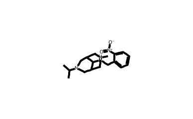 CC(C)N1CC2CN(C)CC(C1)C2NCc1ccccc1[N+](=O)[O-]